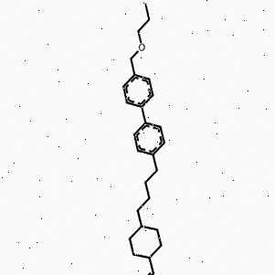 C=CC1CCC(CCCCc2ccc(-c3ccc(COCCC)cc3)cc2)CC1